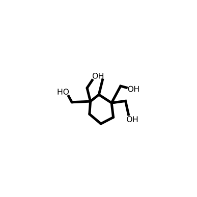 CC1C(CO)(CO)CCCC1(CO)CO